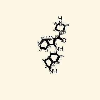 N=C1CCc2cc(Nc3c(C(=O)N4CCNCC4)oc4cnccc34)ccc21